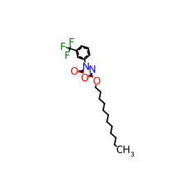 CCCCCCCCCCCCOc1nn(-c2cccc(C(F)(F)F)c2)c(=O)o1